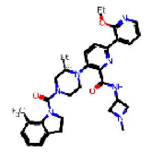 CCOc1ncccc1-c1ccc(N2CCN(C(=O)N3CCc4cccc(C(F)(F)F)c43)C[C@H]2CC)c(C(=O)NC2CN(C)C2)n1